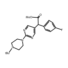 COC(=O)C(c1ccc(F)cc1)c1cnc(N2CCN(C(C)(C)C)CC2)nc1